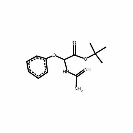 CC(C)(C)OC(=O)C(NC(=N)N)Oc1ccccc1